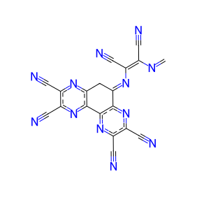 C=N/C(C#N)=C(C#N)\N=C1/Cc2nc(C#N)c(C#N)nc2-c2nc(C#N)c(C#N)nc21